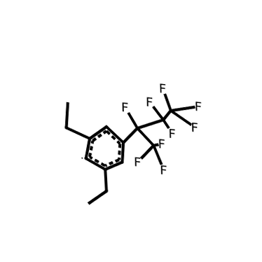 CCc1[c]c(CC)cc(C(F)(C(F)(F)F)C(F)(F)C(F)(F)F)c1